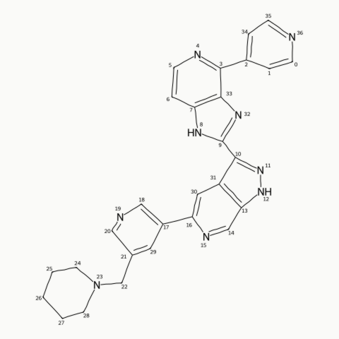 c1cc(-c2nccc3[nH]c(-c4n[nH]c5cnc(-c6cncc(CN7CCCCC7)c6)cc45)nc23)ccn1